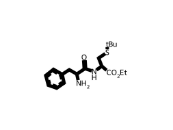 CCOC(=O)C(CSC(C)(C)C)NC(=O)C(N)Cc1ccccc1